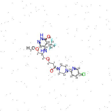 COCC(COCCC(=O)N1CCN(c2ccc(Cl)cn2)CC1)Nc1cn[nH]c(=O)c1C(F)(F)F